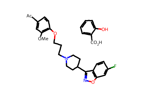 COc1cc(C(C)=O)ccc1OCCCN1CCC(c2noc3cc(F)ccc23)CC1.O=C(O)c1ccccc1O